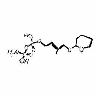 C/C(=C\COP(=O)(O)OP(N)(=O)O)COC1CCCCO1